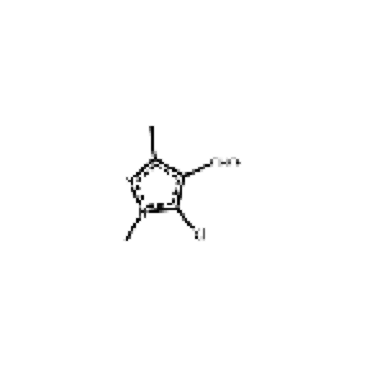 Cc1nn(C)c(Cl)c1[C]=O